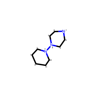 C1CCN(N2CC[N]CC2)CC1